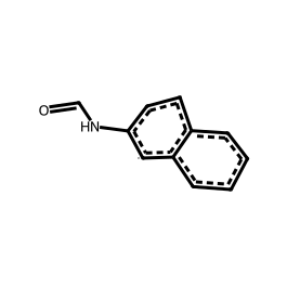 O=CNc1[c]c2ccccc2cc1